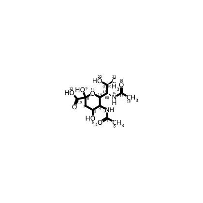 CC(=O)NC1C(O)CC(O)(C(=O)O)OC1[C@@H](NC(C)=O)[C@H](C)O